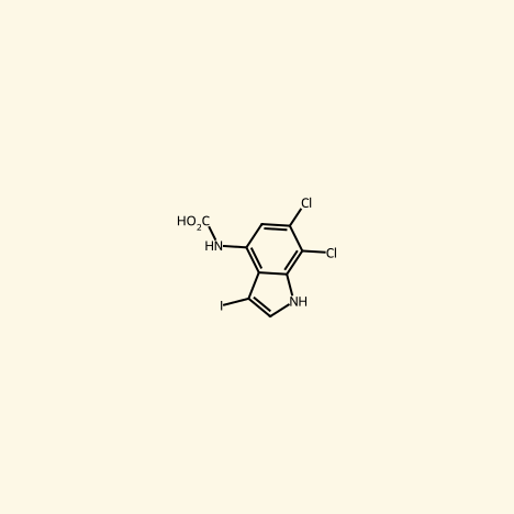 O=C(O)Nc1cc(Cl)c(Cl)c2[nH]cc(I)c12